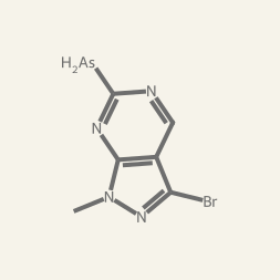 Cn1nc(Br)c2cnc([AsH2])nc21